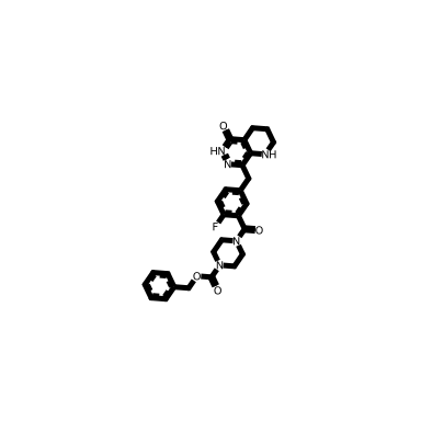 O=C(OCc1ccccc1)N1CCN(C(=O)c2cc(Cc3n[nH]c(=O)c4c3NCCC4)ccc2F)CC1